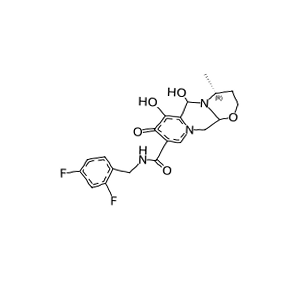 C[C@@H]1CCOC2Cn3cc(C(=O)NCc4ccc(F)cc4F)c(=O)c(O)c3C(O)N21